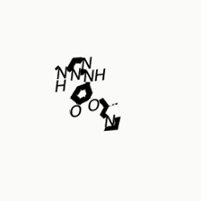 CNc1ccnc(Nc2ccc(OC)c(OC[C@H](C)CN3CCC3)c2)n1